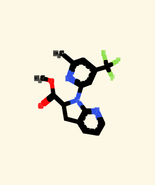 COC(=O)C1Cc2cccnc2N1c1cc(C(F)(F)F)cc(C)n1